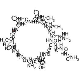 CCCC[C@H]1C(=O)N(C)[C@@H](CCCC)C(=O)N[C@@H](CCCNC(=N)N)C(=O)N[C@H](C(=O)NCC(=O)NCC(=O)NCC(N)=O)CSCC(=O)N[C@@H](Cc2ccc(O)cc2)C(=O)N(C)[C@@H](C)C(=O)N[C@@H](CC(N)=O)C(=O)N2CCC[C@H]2C(=O)N[C@@H](Cc2cnc[nH]2)C(=O)N[C@@H](C(C)CC)C(=O)N2CCC[C@H]2C(=O)N[C@@H](Cc2c[nH]c3ccccc23)C(=O)NCC(=O)N[C@@H](Cc2c[nH]c3ccccc23)C(=O)N1C